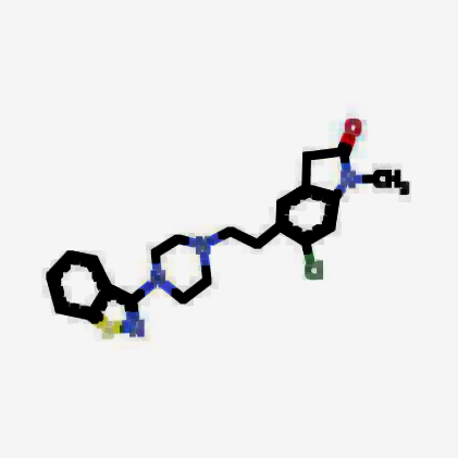 CN1C(=O)Cc2cc(CCN3CCN(c4nsc5ccccc45)CC3)c(Cl)cc21